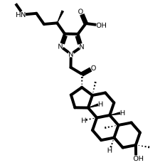 CNCC[C@@H](C)c1nn(CC(=O)[C@H]2CC[C@H]3[C@@H]4CC[C@@H]5C[C@](C)(O)CC[C@]5(C)[C@H]4CC[C@]23C)nc1C(=O)O